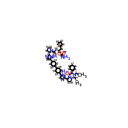 CCN(CC)C(C(=O)N1CCCC1c1ncc(-c2ccc(-c3ccc(-c4cnc([C@@H]5CCCN5C(=O)C[C@H](Cc5cccs5)OC(N)=O)[nH]4)cc3)cc2)[nH]1)c1ccccc1